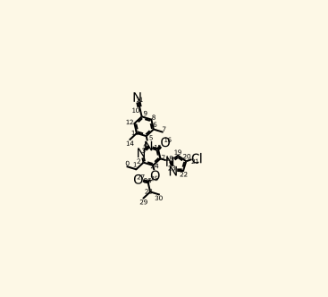 CCc1nn(-c2c(C)cc(C#N)cc2C)c(=O)c(-n2cc(Cl)cn2)c1OC(=O)C(C)C